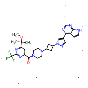 COC(C)(C)c1cc(C(=O)N2CCN(C3CC(n4cc(-c5ncnc6[nH]ccc56)cn4)C3)CC2)nc(C(F)(F)F)n1